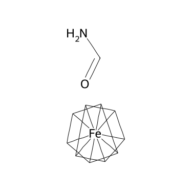 NC=O.[CH]12[CH]3[CH]4[CH]5[CH]1[Fe]23451678[CH]2[CH]1[CH]6[CH]7[CH]28